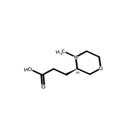 CN1CCOC[C@H]1CCC(=O)O